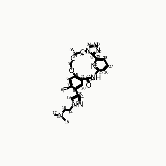 C[C@H]1CCOc2cc(F)c(-c3cnn(CCN(C)C)c3)cc2C(=O)Nc2cccc(n2)-c2nncn2C1